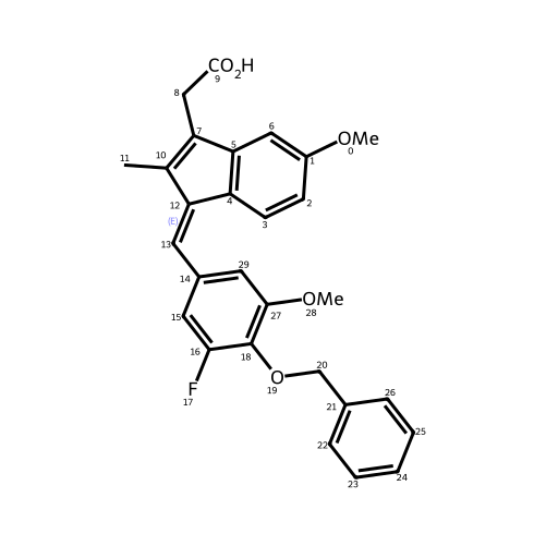 COc1ccc2c(c1)C(CC(=O)O)=C(C)/C2=C/c1cc(F)c(OCc2ccccc2)c(OC)c1